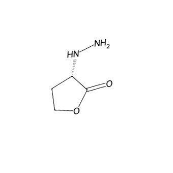 NN[C@H]1CCOC1=O